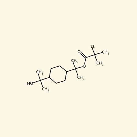 CCC(C)(C)C(=O)OC(C)(C1CCC(C(C)(C)O)CC1)C(F)(F)F